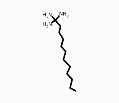 CCCCCCCCCCCC(N)(N)N